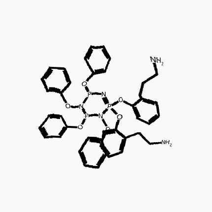 NCCc1ccccc1OP1(Oc2ccccc2CCN)=NP(Oc2ccccc2)N(Oc2ccccc2)P(Oc2ccccc2)N1Oc1ccccc1